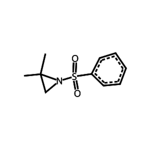 CC1(C)CN1S(=O)(=O)c1ccccc1